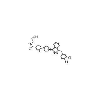 CN(CCO)C(=O)c1ccc(N2CCN(c3nnc(Cc4ccc(Cl)c(Cl)c4)c4ccccc34)CC2)nc1